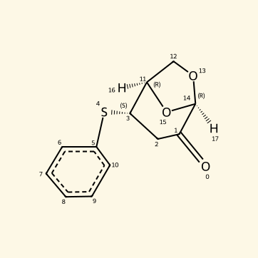 O=C1C[C@H](Sc2ccccc2)[C@H]2CO[C@@H]1O2